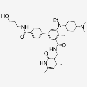 CCN(c1cc(-c2ccc(C(=O)NCCCO)cc2)cc(C(=O)NCC2C(=O)NC(C)=CC2C)c1C)[C@H]1CC[C@H](N(C)C)CC1